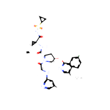 C=C[C@@H]1C[C@]1(NC(=O)[C@@H]1C[C@@H](Oc2ncc(OC)c3ccc(Cl)cc23)CN1C(=O)[C@H](Nc1cncc(C(F)(F)F)c1)C(C)(C)C)C(=O)NS(=O)(=O)C1CC1